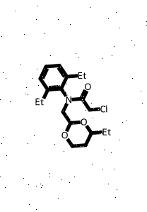 CCc1cccc(CC)c1N(CC1OCCC(CC)O1)C(=O)CCl